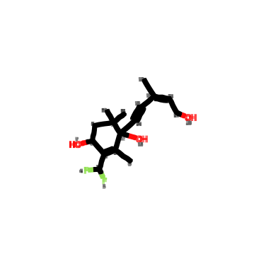 CC1=C(C(F)F)C(O)CC(C)(C)C1(O)C#C/C(C)=C\CO